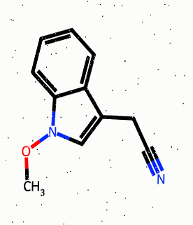 COn1cc(CC#N)c2ccccc21